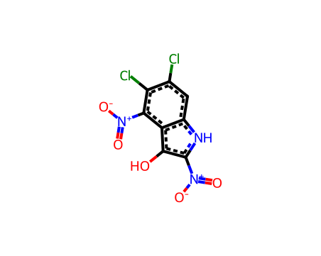 O=[N+]([O-])c1[nH]c2cc(Cl)c(Cl)c([N+](=O)[O-])c2c1O